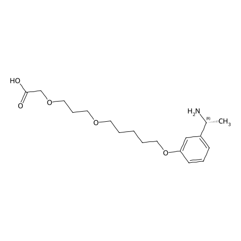 C[C@@H](N)c1cccc(OCCCCCOCCCOCC(=O)O)c1